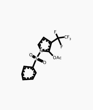 CC(=O)Oc1c(C(F)(F)C(F)(F)F)ccn1S(=O)(=O)c1ccccc1